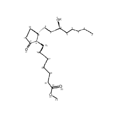 CCCCC[C@H](O)CC[C@H]1CCC(=O)[C@@H]1CCCCCCC(=O)OC